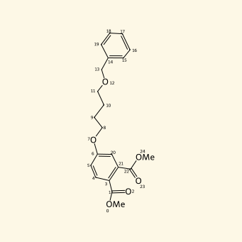 COC(=O)c1ccc(OCCCCOCc2ccccc2)cc1C(=O)OC